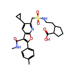 CNC(=O)c1c(-c2ccc(C)cc2)oc2nc(CS(=O)(=O)NCCC3CCCC3C(=O)O)c(C3CC3)cc12